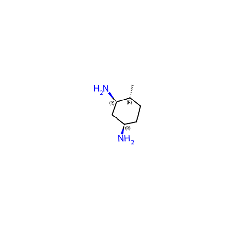 C[C@@H]1CC[C@@H](N)C[C@H]1N